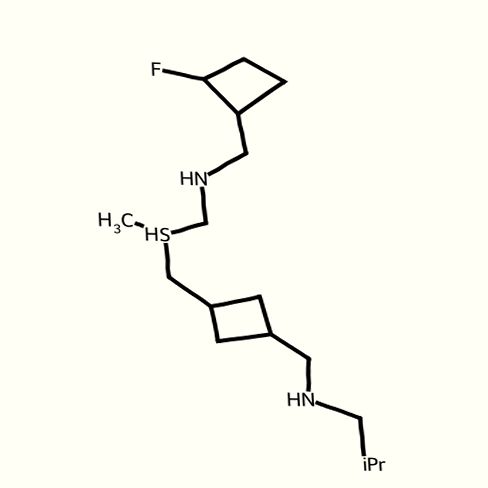 CC(C)CNCC1CC(C[SH](C)CNCC2CCC2F)C1